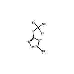 CCC(N)(CC)Cc1nnc(N)s1